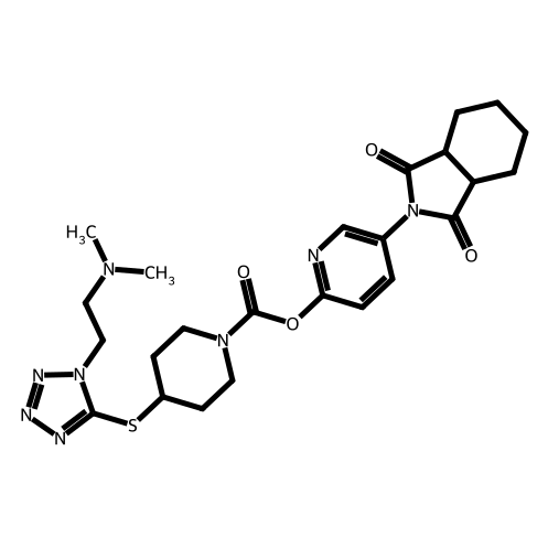 CN(C)CCn1nnnc1SC1CCN(C(=O)Oc2ccc(N3C(=O)C4CCCCC4C3=O)cn2)CC1